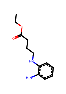 CCOC(=O)CCCNc1ccccc1N